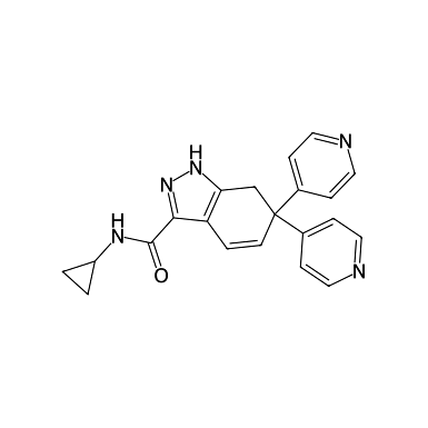 O=C(NC1CC1)c1n[nH]c2c1C=CC(c1ccncc1)(c1ccncc1)C2